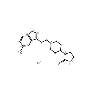 Cl.O=C1NCCN1C1CCN(CCc2c[nH]c3ccc(O)cc23)CC1